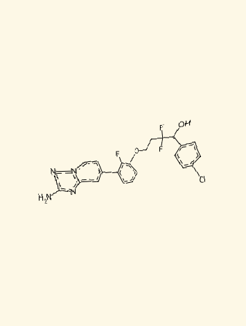 Nc1nc2cc(-c3cccc(OCCC(F)(F)C(O)c4ccc(Cl)cc4)c3F)ccn2n1